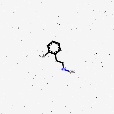 CNc1ccccc1CCNC=O